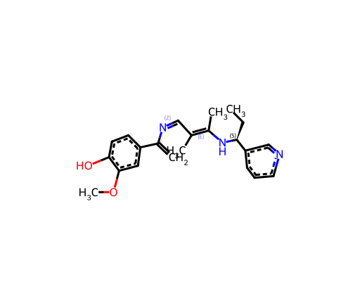 C=C(/N=C\C(C)=C(/C)N[C@@H](CC)c1cccnc1)c1ccc(O)c(OC)c1